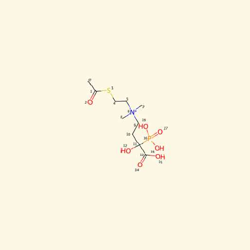 CC(=O)SCC[N+](C)(C)CCC(O)(C(=O)O)P(=O)(O)O